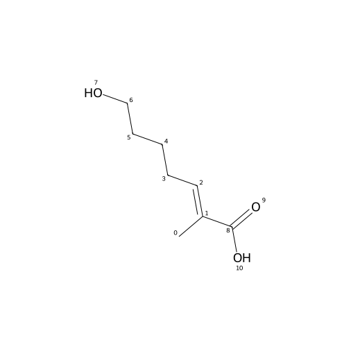 C/C(=C\CCCCO)C(=O)O